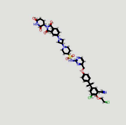 CC(C)(c1ccc(OCc2ccnc(NS(=O)(=O)C3CCN(C4CN(c5ccc6c(c5)C(=O)N(C5CCC(=O)NC5=O)C6=O)C4)CC3)n2)cc1)c1cc(Cl)c(OCCCl)c(C#N)c1